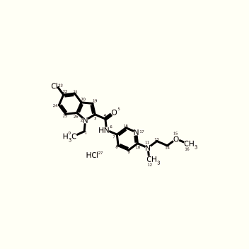 CCn1c(C(=O)Nc2ccc(N(C)CCOC)nc2)cc2cc(Cl)ccc21.Cl